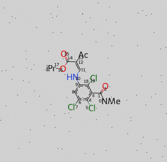 CNC(=O)c1c(Cl)c(Cl)cc(NC=C(C(C)=O)C(=O)OC(C)C)c1Cl